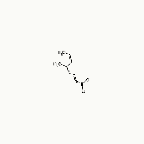 C\C=C/C(C)=C\C=N\B(Cl)Cl